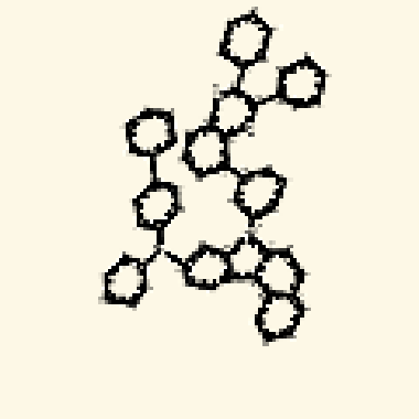 c1ccc(-c2ccc(N(c3ccccc3)c3ccc4c5c6ccccc6ccc5n(-c5cccc(-c6cccc7nc(-c8ccccc8)c(-c8ccccc8)nc67)c5)c4c3)cc2)cc1